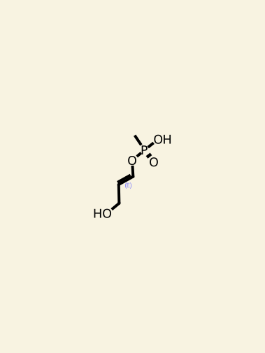 CP(=O)(O)O/C=C/CO